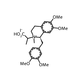 COc1ccc(C[C@@H]2c3cc(OC)c(OC)cc3CC[N+]2(C)C(C)C(=O)O)cc1OC.[I-]